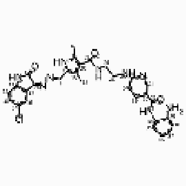 Cc1[nH]c(C=NN=C2C(=O)Nc3ccc(Cl)cc32)c(C)c1C(=O)NCCNc1ccc(C(=O)Nc2ccccc2N)cn1